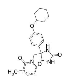 Cc1cccn(CC2(c3ccc(OC4CCCCC4)cc3)NC(=O)NC2=O)c1=O